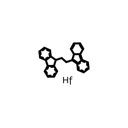 C1=CC2=c3ccccc3=C(CCC3c4ccccc4-c4ccccc43)C2C=C1.[Hf]